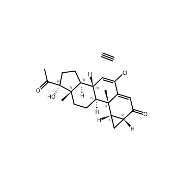 C#C.CC(=O)[C@@]1(O)CC[C@H]2[C@@H]3C=C(Cl)C4=CC(=O)[C@@H]5C[C@@H]5[C@]4(C)[C@H]3CC[C@@]21C